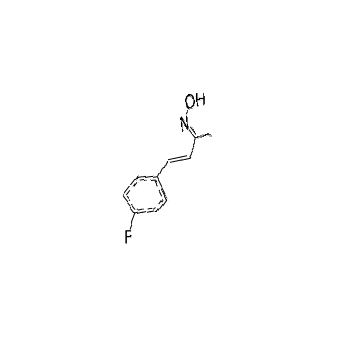 CC(C=Cc1ccc(F)cc1)=NO